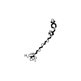 C=C(C)C(=O)NCCOCCOCCOCCn1cc(CN2CCC3(CC2)COC3)nn1